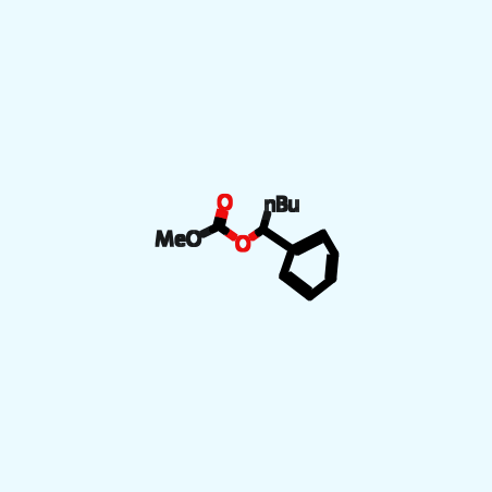 CCCCC(OC(=O)OC)c1ccccc1